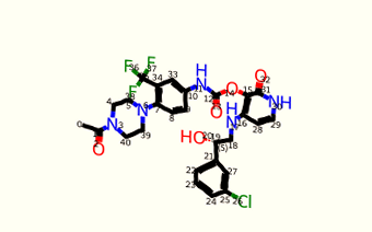 CC(=O)N1CCN(c2ccc(NC(=O)Oc3c(NC[C@@H](O)c4cccc(Cl)c4)cc[nH]c3=O)cc2C(F)(F)F)CC1